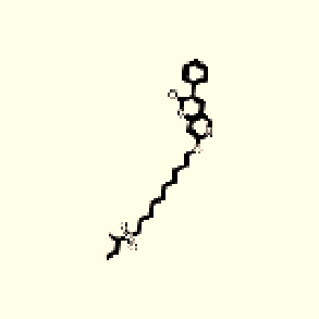 CCC(C)S(=O)(=O)CCCCCCCCCCOc1cc2oc(=O)c(-c3ccccc3)cc2cn1